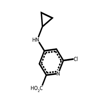 O=C(O)c1cc(NC2CC2)cc(Cl)n1